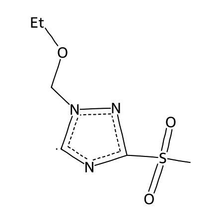 CCOCn1[c]nc(S(C)(=O)=O)n1